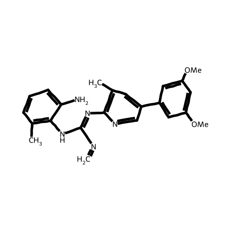 C=N/C(=N\c1ncc(-c2cc(OC)cc(OC)c2)cc1C)Nc1c(C)cccc1N